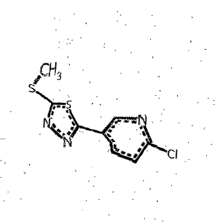 CSc1nnc(-c2ccc(Cl)nc2)s1